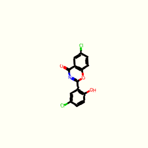 O=c1nc(-c2cc(Cl)ccc2O)oc2ccc(Cl)cc12